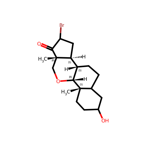 C[C@]12CCC(O)CC1CC[C@@H]1[C@H]2OC[C@]2(C)C(=O)C(Br)C[C@@H]12